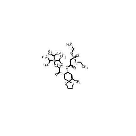 CCOP(=O)(CC(=O)O[C@@H]1C=C(C)C2(C[C@@H]1C(=O)CO[Si](C(C)C)(C(C)C)C(C)C)OCCO2)OCC